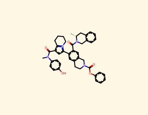 C[C@@H]1Cc2ccccc2CN1C(=O)c1cc2c(cc1-c1cc(C(=O)N(C)c3ccc(O)cc3)c3n1CCCC3)CCN(C(=O)Oc1ccccc1)C2